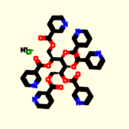 O=C(OC[C@H](OC(=O)c1cccnc1)[C@@H](OC(=O)c1cccnc1)[C@H](OC(=O)c1cccnc1)[C@@H](COC(=O)c1cccnc1)OC(=O)c1cccnc1)c1cccnc1.[Cl-].[H+]